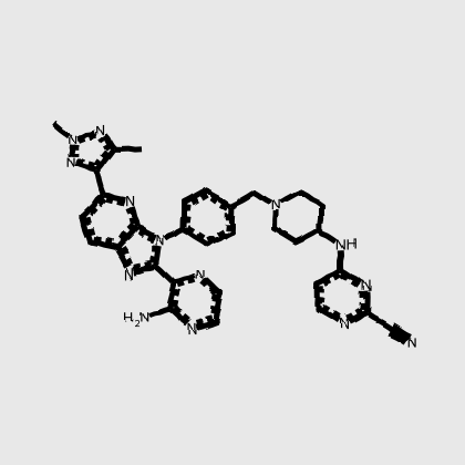 Cc1nn(C)nc1-c1ccc2nc(-c3nccnc3N)n(-c3ccc(CN4CCC(Nc5ccnc(C#N)n5)CC4)cc3)c2n1